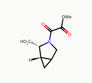 COC(=O)C(=O)N1CC2C[C@@H]2[C@@H]1C(=O)O